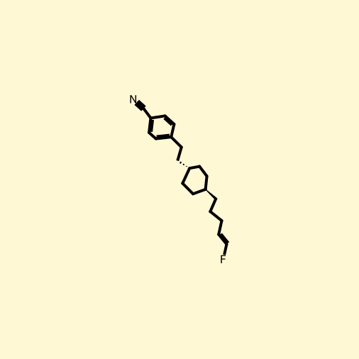 N#Cc1ccc(CC[C@H]2CC[C@H](CCCC=CF)CC2)cc1